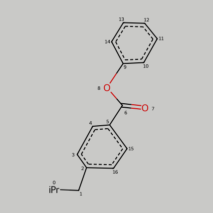 CC(C)Cc1ccc(C(=O)Oc2ccccc2)cc1